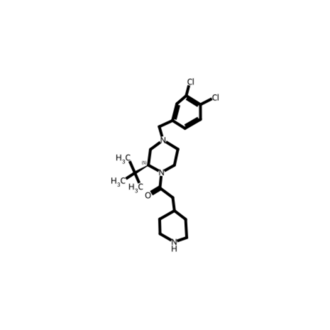 CC(C)(C)[C@H]1CN(Cc2ccc(Cl)c(Cl)c2)CCN1C(=O)CC1CCNCC1